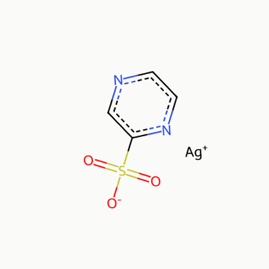 O=S(=O)([O-])c1cnccn1.[Ag+]